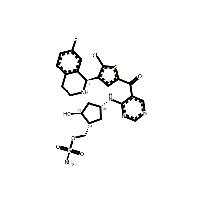 NS(=O)(=O)OC[C@H]1C[C@@H](Nc2ncncc2C(=O)c2cc([C@H]3NCCc4ccc(Br)cc43)c(Cl)s2)C[C@@H]1O